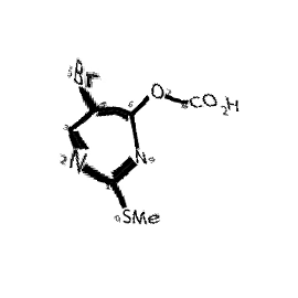 CSc1ncc(Br)c(OC(=O)O)n1